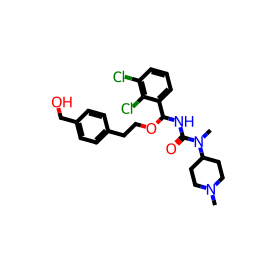 CN1CCC(N(C)C(=O)NC(OCCc2ccc(CO)cc2)c2cccc(Cl)c2Cl)CC1